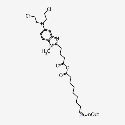 CCCCCCCC/C=C\CCCCCCCC(=O)OC(=O)CCCc1nc2cc(N(CCCl)CCCl)ccc2n1C